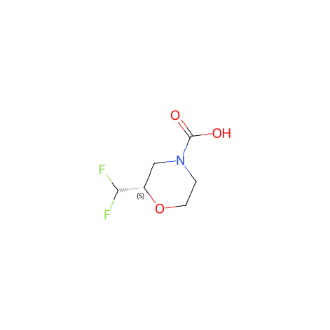 O=C(O)N1CCO[C@H](C(F)F)C1